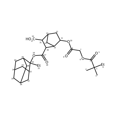 CCC(C)(C)C(=O)OCC(=O)OC1CC2CC1C(C(=O)OC1(CC)C3CC4CC(C3)CC1C4)C2C(=O)O